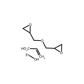 C(OCC1CO1)C1CO1.C=CC(=O)O.CCO